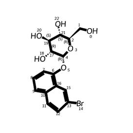 OC[C@H]1O[C@H](Oc2cccc3ccc(Br)cc23)[C@H](O)[C@@H](O)[C@@H]1O